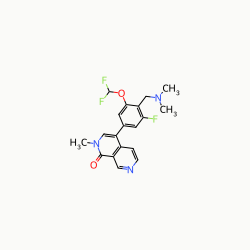 CN(C)Cc1c(F)cc(-c2cn(C)c(=O)c3cnccc23)cc1OC(F)F